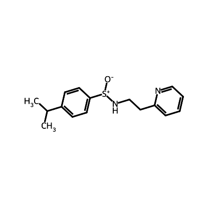 CC(C)c1ccc([S+]([O-])NCCc2ccccn2)cc1